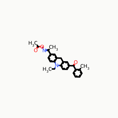 CCN1c2ccc(C(=O)c3ccccc3C)cc2Cc2cc(/C(C)=N/OC(C)=O)ccc21